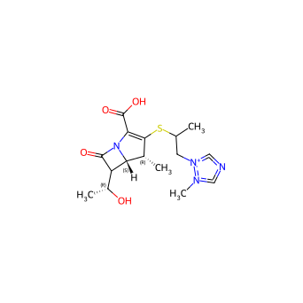 CC(C[n+]1cncn1C)SC1=C(C(=O)O)N2C(=O)C([C@@H](C)O)[C@H]2[C@H]1C